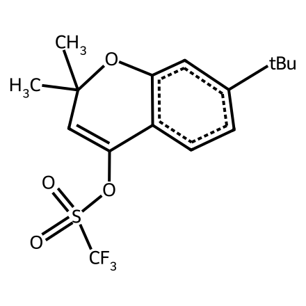 CC1(C)C=C(OS(=O)(=O)C(F)(F)F)c2ccc(C(C)(C)C)cc2O1